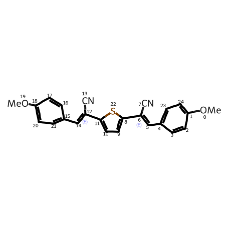 COc1ccc(/C=C(\C#N)c2ccc(/C(C#N)=C/c3ccc(OC)cc3)s2)cc1